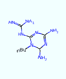 CCCCN1C(NC(=N)N)=NC(N)=NC1N